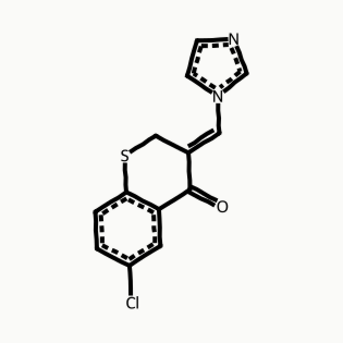 O=C1/C(=C/n2ccnc2)CSc2ccc(Cl)cc21